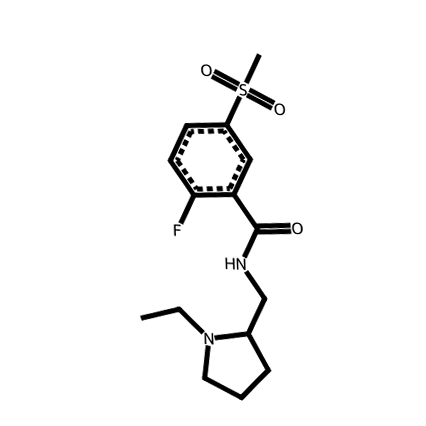 CCN1CCCC1CNC(=O)c1cc(S(C)(=O)=O)ccc1F